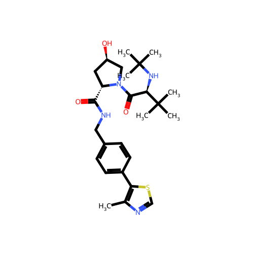 Cc1ncsc1-c1ccc(CNC(=O)[C@@H]2C[C@@H](O)CN2C(=O)[C@@H](NC(C)(C)C)C(C)(C)C)cc1